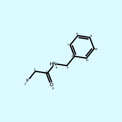 O=C(CF)NCc1ccccc1